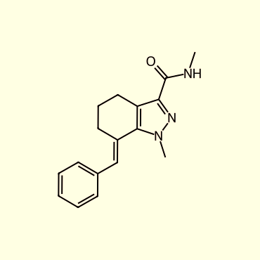 CNC(=O)c1nn(C)c2c1CCC/C2=C\c1ccccc1